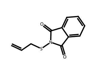 C=CCSN1C(=O)c2ccccc2C1=O